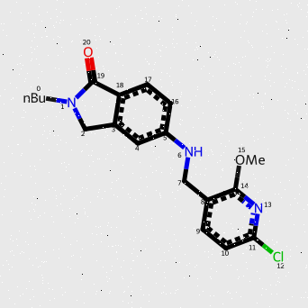 CCCCN1Cc2cc(NCc3ccc(Cl)nc3OC)ccc2C1=O